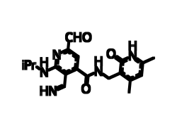 Cc1cc(C)c(CNC(=O)c2cc(C=O)nc(NC(C)C)c2C=N)c(=O)[nH]1